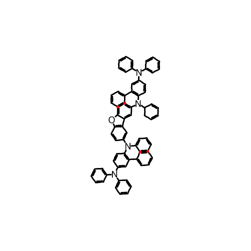 C1=CCC(N(c2ccc3oc4ccc(N(c5ccccc5)c5ccc(N(c6ccccc6)c6ccccc6)cc5-c5ccccc5)cc4c3c2)c2ccc(N(c3ccccc3)c3ccccc3)cc2-c2ccccc2)C=C1